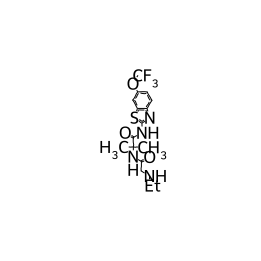 CCNCC(=O)NC(C)(C)C(=O)Nc1nc2ccc(OC(F)(F)F)cc2s1